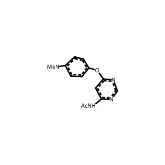 CNc1ccc(Oc2cc(NC(C)=O)ncn2)cc1